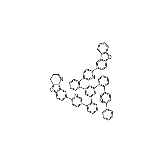 C1=Nc2c(oc3ccc(-c4ccc(-c5ccccc5-c5cc(-c6ccccc6-c6ccc(-c7ccccc7)nc6)cc(-c6ccccc6-c6ccc(-c7ccc8oc9ccccc9c8c7)nc6)c5)cn4)cc23)CC1